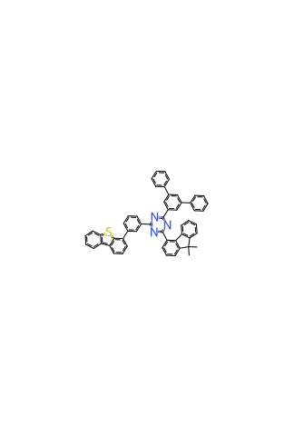 CC1(C)c2ccccc2-c2c(-c3nc(-c4cc(-c5ccccc5)cc(-c5ccccc5)c4)nc(-c4cccc(-c5cccc6c5sc5ccccc56)c4)n3)cccc21